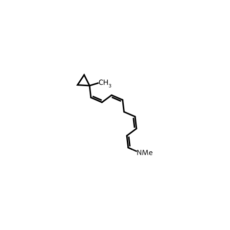 CN/C=C\C=C/C/C=C\C=C/C1(C)CC1